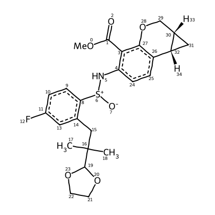 COC(=O)c1c(N[S+]([O-])c2ccc(F)cc2CC(C)(C)C2OCCO2)ccc2c1OC[C@@H]1C[C@H]21